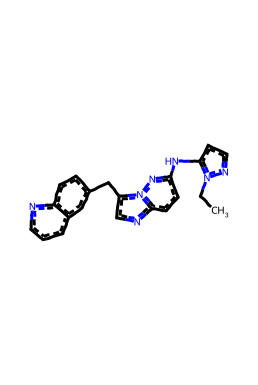 CCn1nccc1Nc1ccc2ncc(Cc3ccc4ncccc4c3)n2n1